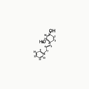 Oc1ccc(C=CCc2ccccc2)c(O)c1